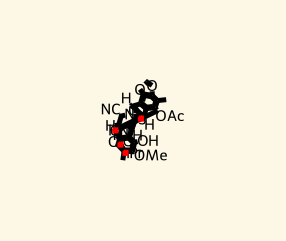 CCCC(=O)O[C@H]1CS[C@@H]2c3c(OC(C)=O)c(C)c4c(c3[C@H](COC1=O)N1C2[C@H]2N[C@H](Cc3cc(C)c(OC)c(O)c32)[C@@H]1C#N)OCO4